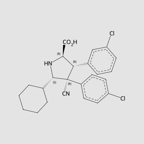 N#C[C@]1(c2ccc(Cl)cc2)[C@H](C2CCCCC2)N[C@@H](C(=O)O)[C@@H]1c1cccc(Cl)c1